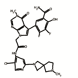 CN1CCC2(C1)CN(c1cc(NC(=O)Cn3cc(-c4cc(C(N)=O)c(O)c(F)c4F)c4c(=O)n(C)cnc43)c(Cl)cn1)C2